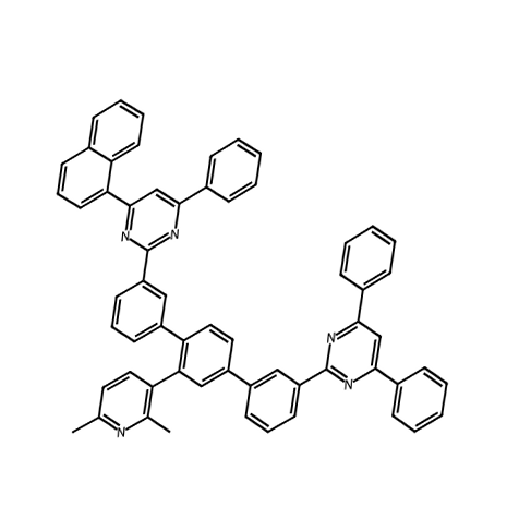 Cc1ccc(-c2cc(-c3cccc(-c4nc(-c5ccccc5)cc(-c5ccccc5)n4)c3)ccc2-c2cccc(-c3nc(-c4ccccc4)cc(-c4cccc5ccccc45)n3)c2)c(C)n1